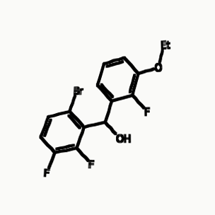 CCOc1cccc(C(O)c2c(Br)ccc(F)c2F)c1F